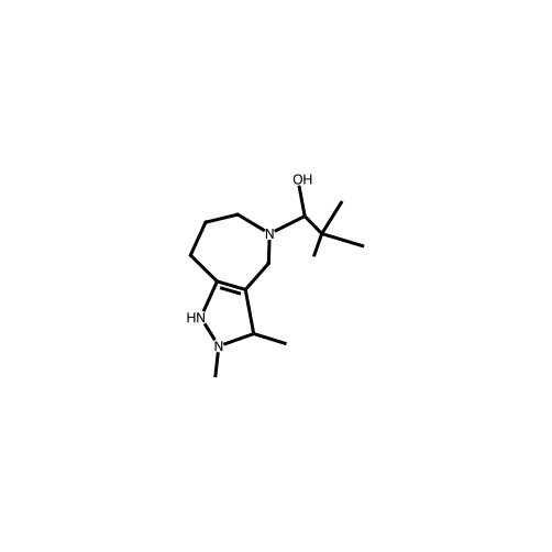 CC1C2=C(CCCN(C(O)C(C)(C)C)C2)NN1C